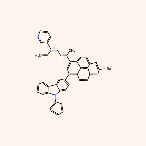 C=C/C(=C\C=C(/C)c1cc(-c2ccc3c(c2)c2ccccc2n3-c2ccccc2)c2ccc3cc(C(C)(C)C)cc4ccc1c2c43)c1cccnc1